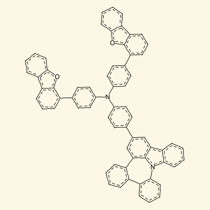 c1ccc2c(c1)-c1ccccc1-n1c3ccccc3c3cc(-c4ccc(N(c5ccc(-c6cccc7c6oc6ccccc67)cc5)c5ccc(-c6cccc7c6oc6ccccc67)cc5)cc4)cc-2c31